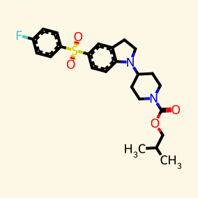 CC(C)COC(=O)N1CCC(N2CCc3cc(S(=O)(=O)c4ccc(F)cc4)ccc32)CC1